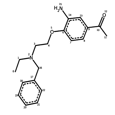 CCN(CCOc1ccc(C(C)=O)cc1N)Cc1ccccc1